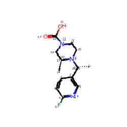 C[C@H](c1ccc(F)nc1)N1CCN(C(=O)O)C[C@@H]1C